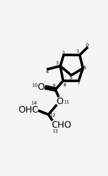 CC1CC2(C)CC1CC2C(=O)OC(C=O)C=O